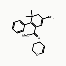 C1=COCCC1.COC(=O)C1=C(c2ccccc2)C(C)(C)CC(N)=C1